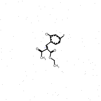 CCOC(=O)/C(=C\c1ccc(F)cc1Cl)C(C)=O